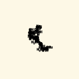 CC(C)[C@H](NC(=O)OC(C)(C)C)C(=O)N[C@@H](C)C(=O)Nc1ccc(COC(=O)N(C)Cc2ccccc2C(=O)Nc2nc3c(ncn3[C@@H]3O[C@H](CO)C[C@H]3OS(=O)(=O)NC[C@H]3O[C@@H](n4cnc5cncnc54)[C@H](F)[C@@H]3O[PH](=O)O)c(=O)[nH]2)cc1